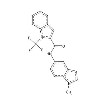 Cn1ccc2cc(NC(=O)c3cc4ccccc4n3C(F)(F)F)ccc21